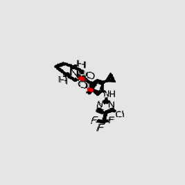 CC(C)(C)OC(=O)N1[C@@H]2CC[C@H]1CN(c1ccc(Nc3ncc(C(F)(F)F)c(Cl)n3)c(C3CC3)c1)C2